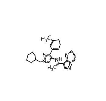 C=C(Nc1cn(CC2CCCCC2)nc1C1=CCCC(C)=C1)c1cnn2cccnc12